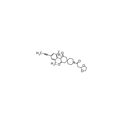 CC#Cc1cc(C)c(C2C(=O)CC3(CCN(C(=O)CC4OCCO4)CC3)CC2=O)c(C)c1